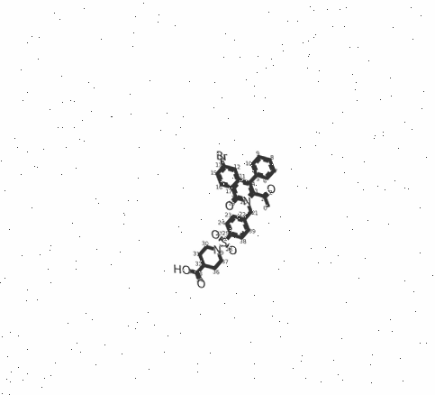 CC(=O)c1c(-c2ccccc2)c2cc(Br)ccc2c(=O)n1Cc1ccc(S(=O)(=O)N2CCC(C(=O)O)CC2)cc1